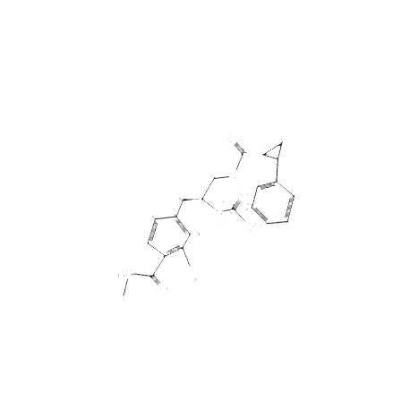 CNC(=O)c1ccc(C[C@@H](CNC(=O)[C@@H]2C[C@@]2(C)c2ccccc2)NC(=O)O)cc1F